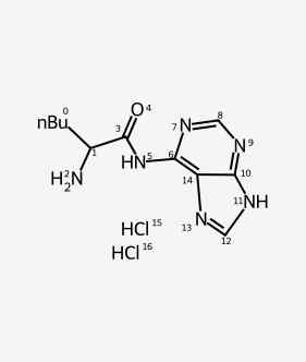 CCCCC(N)C(=O)Nc1ncnc2[nH]cnc12.Cl.Cl